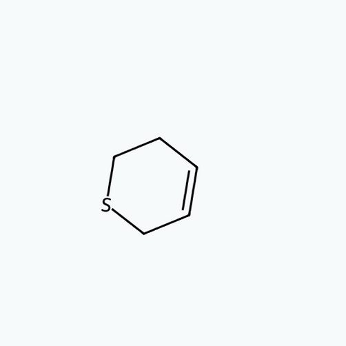 C1=CCSCC1